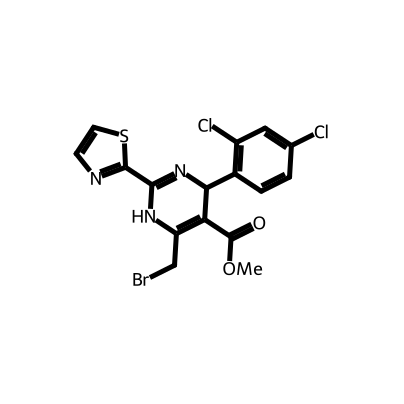 COC(=O)C1=C(CBr)NC(c2nccs2)=NC1c1ccc(Cl)cc1Cl